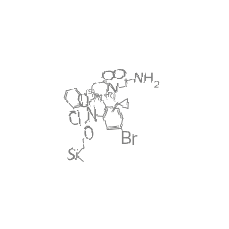 CC1([C@H]2N(CC(N)=O)C(=O)C[C@@H](c3cccc(Cl)c3)[C@]23C(=O)N(COCC[Si](C)(C)C)c2cc(Br)ccc23)CC1